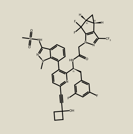 Cn1nc(NS(C)(=O)=O)c2cccc(-c3ccc(C#CC4(O)CCC4)nc3[C@H](Cc3cc(F)cc(F)c3)NC(=O)Cn3nc(C(F)(F)F)c4c3C(F)(F)[C@@H]3C[C@H]43)c21